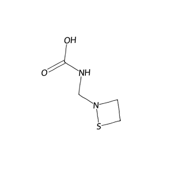 O=C(O)NCN1CCS1